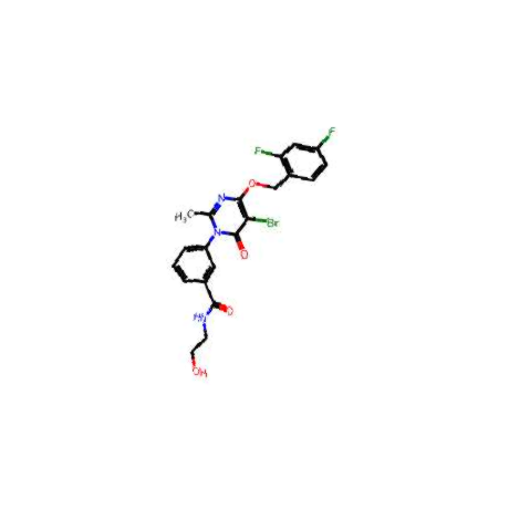 Cc1nc(OCc2ccc(F)cc2F)c(Br)c(=O)n1-c1cccc(C(=O)NCCO)c1